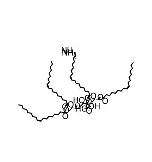 CCCCCCCC/C=C\CCCCCCCC(=O)OC[C@H](COC(C(O)COC[C@@H](COC(=O)CCCCCCC/C=C\CCCCCCCC)OC(=O)CCCCCCC/C=C\CCCCCCCC)P(=O)(O)O)OC(=O)CCCCCCC/C=C\CCCCCCCC.N.N